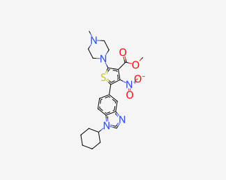 COC(=O)c1c(N2CCN(C)CC2)sc(-c2ccc3c(c2)ncn3C2CCCCC2)c1[N+](=O)[O-]